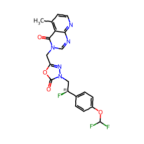 Cc1ccnc2ncn(Cc3nn(C[C@H](F)c4ccc(OC(F)F)cc4)c(=O)o3)c(=O)c12